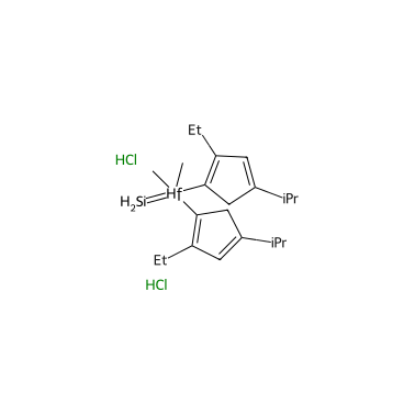 CCC1=[C]([Hf]([CH3])([CH3])(=[SiH2])[C]2=C(CC)C=C(C(C)C)C2)CC(C(C)C)=C1.Cl.Cl